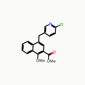 COC(=O)c1cc(Cc2ccc(Cl)nc2)c2ccccc2c1OC